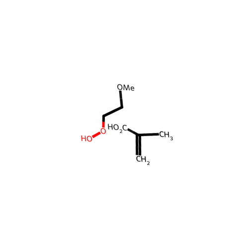 C=C(C)C(=O)O.COCCOO